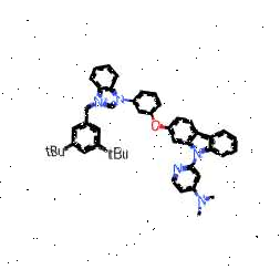 CN(C)c1ccnc(-n2c3ccccc3c3ccc(Oc4cccc(-n5c[n+](Cc6cc(C(C)(C)C)cc(C(C)(C)C)c6)c6ccccc65)c4)cc32)c1